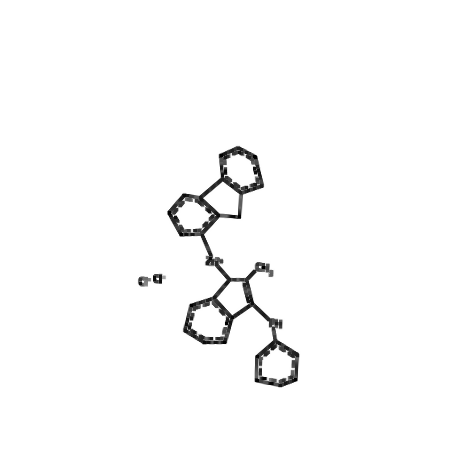 CC1=C(Pc2ccccc2)c2ccccc2[CH]1[Zr+2][c]1cccc2c1Cc1ccccc1-2.[Cl-].[Cl-]